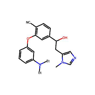 CCN(CC)c1cccc(Oc2cc(C(O)Cc3cncn3C)ccc2C#N)c1